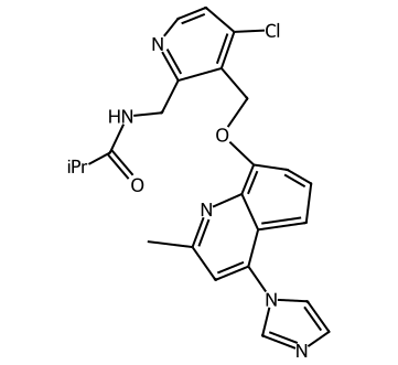 Cc1cc(-n2ccnc2)c2cccc(OCc3c(Cl)ccnc3CNC(=O)C(C)C)c2n1